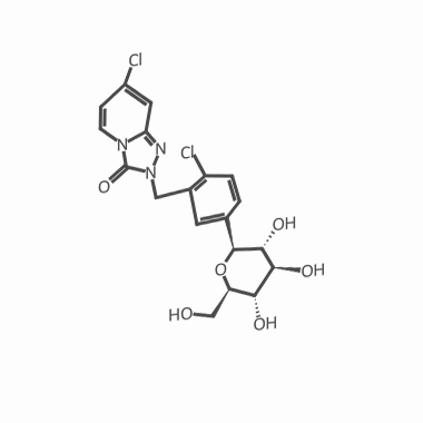 O=c1n(Cc2cc([C@@H]3O[C@H](CO)[C@@H](O)[C@H](O)[C@H]3O)ccc2Cl)nc2cc(Cl)ccn12